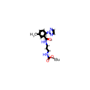 Cc1ccc(-n2nccn2)c(C(=O)NCCCNC(=O)OC(C)(C)C)c1